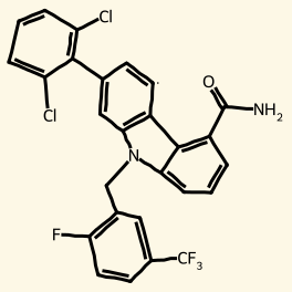 NC(=O)c1cccc2c1c1[c]cc(-c3c(Cl)cccc3Cl)cc1n2Cc1cc(C(F)(F)F)ccc1F